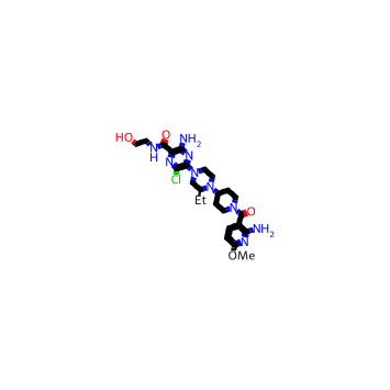 CC[C@H]1CN(c2nc(N)c(C(=O)NCCO)nc2Cl)CCN1C1CCN(C(=O)c2ccc(OC)nc2N)CC1